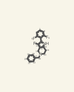 Fc1cccc(F)c1-c1[nH]c2c(c1F)CN(Cc1ccccc1)CC2